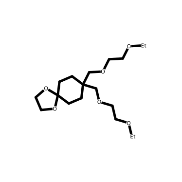 CCOCCOCC1(COCCOCC)CCC2(CC1)OCCO2